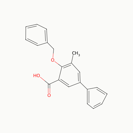 Cc1cc(-c2ccccc2)cc(C(=O)O)c1OCc1ccccc1